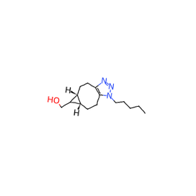 CCCCCn1nnc2c1CC[C@@H]1C(CO)[C@@H]1CC2